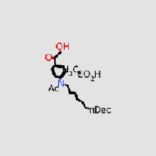 CC(=O)O.CCCCCCCCCCCCCCCCN(C(C)=O)c1ccc(C(=O)CO)cc1